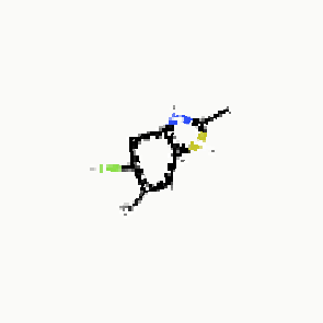 Cc1nc2cc(F)c(C(C)(C)C)cc2s1